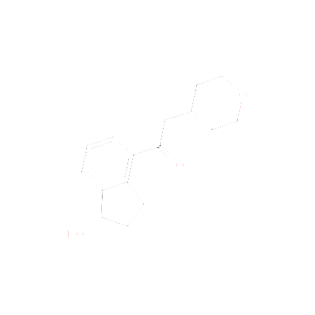 O=C(CC1CCOCC1)c1cccc2c1CC[C@@H]2O